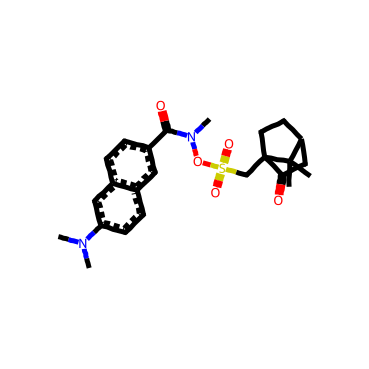 CN(OS(=O)(=O)CC12CCC(CC1=O)C2(C)C)C(=O)c1ccc2cc(N(C)C)ccc2c1